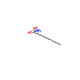 CCCCCCCCCCCCCCC(F)CC(N)(CO)CO